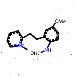 COc1ccc(NC=O)c(CCc2cccc[n+]2C)c1.[I-]